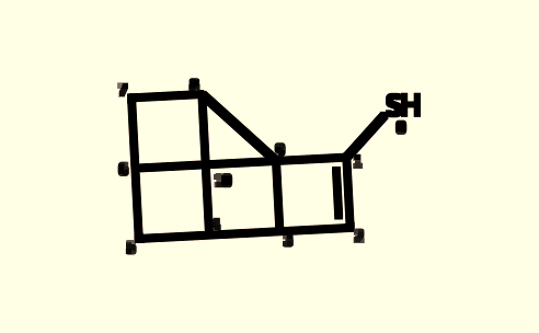 SC1=CC2C3CC4CC5C12C435